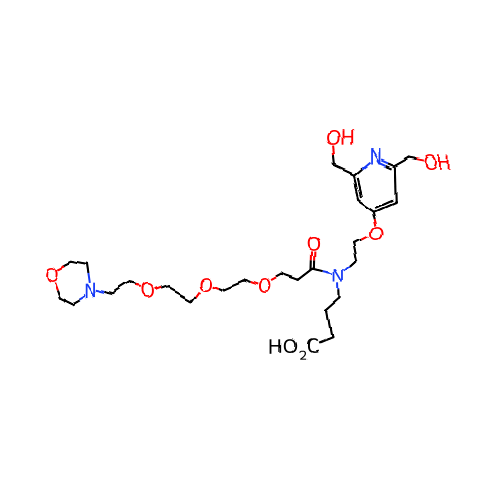 O=C(O)CCCN(CCOc1cc(CO)nc(CO)c1)C(=O)CCOCCOCCOCCN1CCOCC1